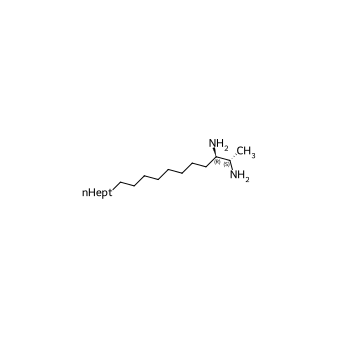 CCCCCCCCCCCCCCC[C@@H](N)[C@H](C)N